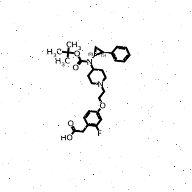 CC(C)(C)OC(=O)N(C1CCN(CCOc2ccc(CC(=O)O)c(F)c2)CC1)[C@@H]1C[C@H]1c1ccccc1